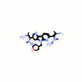 C/C(N)=C(\c1cnc2c3ccc(/C(=C(\C)N)N(C)N)nc3n(CC3CCOCC3)c2c1)N(C)N